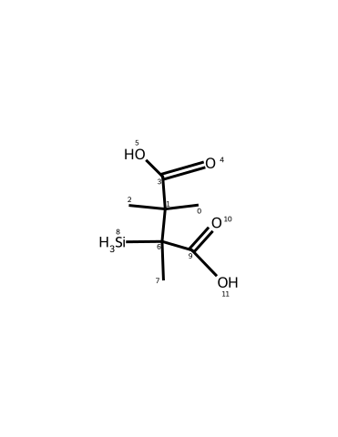 CC(C)(C(=O)O)C(C)([SiH3])C(=O)O